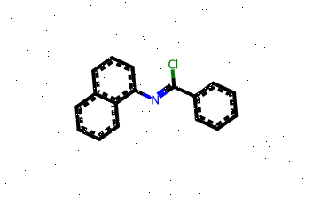 Cl/C(=N\c1cccc2ccccc12)c1ccccc1